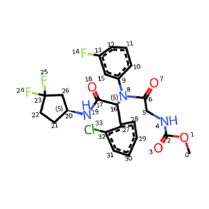 COC(=O)NCC(=O)N(c1cccc(F)c1)[C@H](C(=O)N[C@H]1CCC(F)(F)C1)c1ccccc1Cl